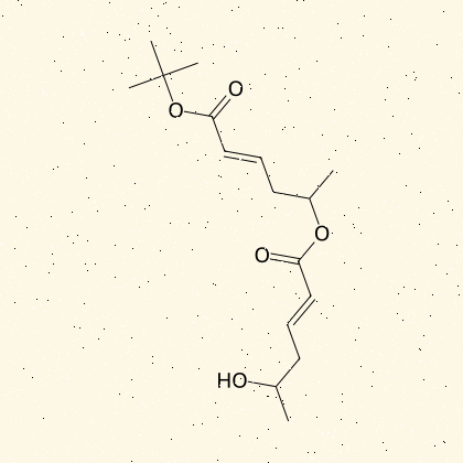 CC(O)CC=CC(=O)OC(C)CC=CC(=O)OC(C)(C)C